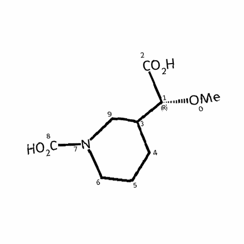 CO[C@@H](C(=O)O)C1CCCN(C(=O)O)C1